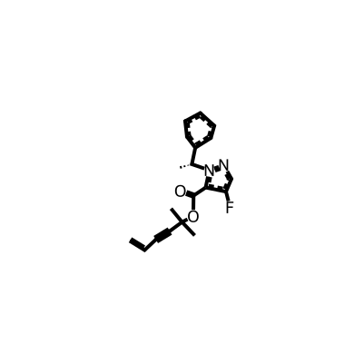 C=CC#CC(C)(C)OC(=O)c1c(F)cnn1[C@H](C)c1ccccc1